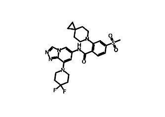 CS(=O)(=O)c1ccc(C(=O)Nc2cc(N3CCC(F)(F)CC3)c3nncn3c2)c(N2CCC3(CC2)CC3)c1